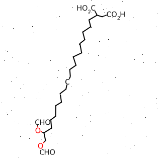 O=COCC(CCCCCCCCCCCCCCCCCCC(CC(=O)O)C(=O)O)OC=O